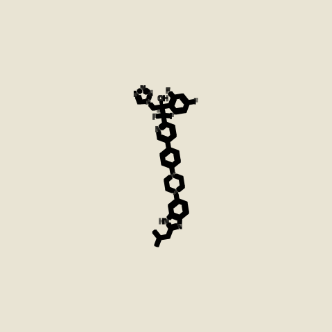 CC(C)Cc1nc2ccc(N3CCN(c4ccc(-c5ccc(C(F)(F)[C@](O)(Cn6cnnn6)c6ccc(F)cc6F)nc5)cc4)CC3)cc2[nH]1